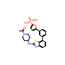 CC(=O)N1CCC(Nc2nc3cccc(-c4cccc(-c5ccc(P(=O)(O)O)o5)c4)c3s2)CC1